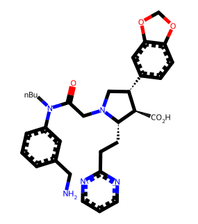 CCCCN(C(=O)CN1C[C@H](c2ccc3c(c2)OCO3)[C@@H](C(=O)O)[C@@H]1CCc1ncccn1)c1cccc(CN)c1